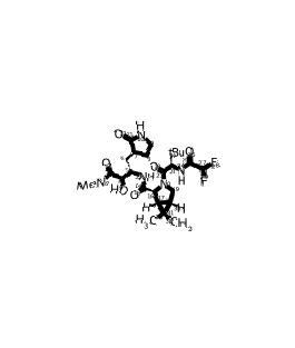 CNC(=O)C(O)[C@H](C[C@@H]1CCNC1=O)NC(=O)[C@@H]1[C@@H]2[C@H](CN1C(=O)[C@@H](NC(=O)C(F)F)C(C)(C)C)C2(C)C